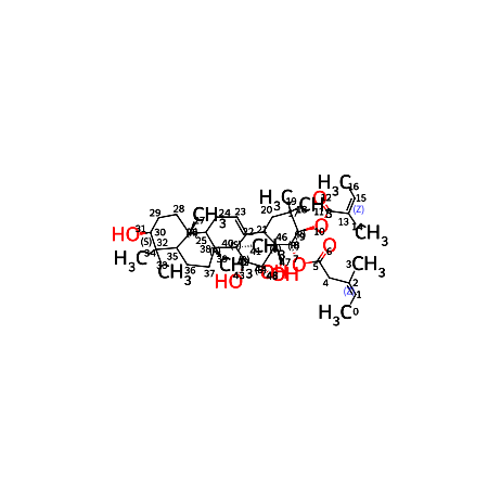 C/C=C(/C)CC(=O)O[C@H]1[C@H](OC(=O)/C(C)=C\C)C(C)(C)CC2C3=CCC4[C@@]5(C)CC[C@H](O)C(C)(C)C5CC[C@@]4(C)[C@]3(C)[C@@H](O)[C@@H](O)[C@]21CO